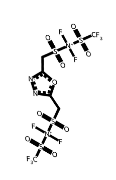 O=S(=O)(Cc1nnc(CS(=O)(=O)[N+](F)(F)S(=O)(=O)C(F)(F)F)o1)[N+](F)(F)S(=O)(=O)C(F)(F)F